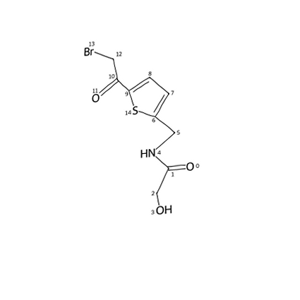 O=C(CO)NCc1ccc(C(=O)CBr)s1